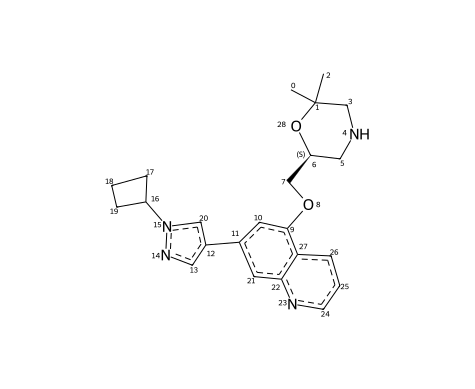 CC1(C)CNC[C@@H](COc2cc(-c3cnn(C4CCC4)c3)cc3ncccc23)O1